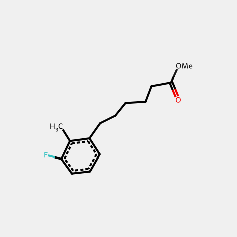 COC(=O)CCCCCc1cccc(F)c1C